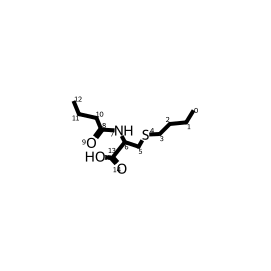 CCCCSCC(NC(=O)CCC)C(=O)O